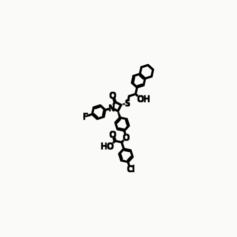 O=C(O)C(Oc1ccc([C@@H]2[C@@H](SC[C@H](O)c3ccc4c(c3)CCCC4)C(=O)N2c2ccc(F)cc2)cc1)c1ccc(Cl)cc1